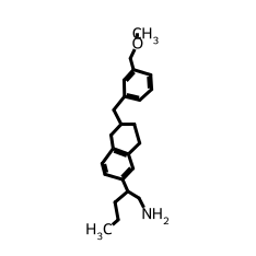 CCCC(CN)c1ccc2c(c1)CCC(Cc1cccc(COC)c1)C2